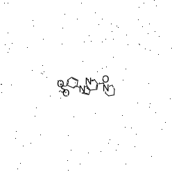 CS(=O)(=O)c1cccc(-n2ccc3cc(C(=O)N4CCCCC4)cnc32)c1